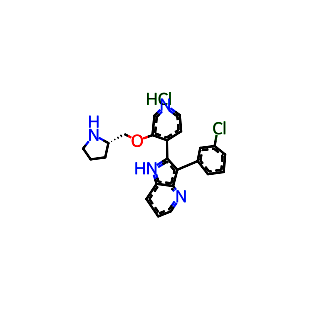 Cl.Clc1cccc(-c2c(-c3ccncc3OC[C@@H]3CCCN3)[nH]c3cccnc23)c1